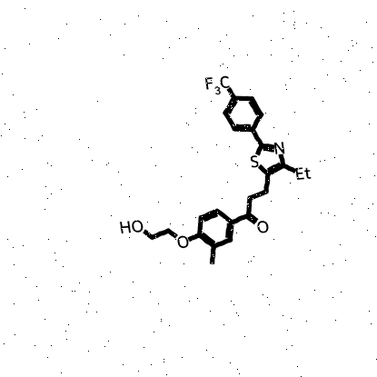 CCc1nc(-c2ccc(C(F)(F)F)cc2)sc1CCC(=O)c1ccc(OCCO)c(C)c1